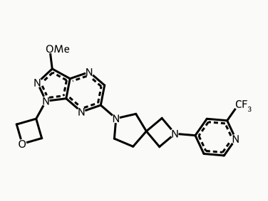 COc1nn(C2COC2)c2nc(N3CCC4(CN(c5ccnc(C(F)(F)F)c5)C4)C3)cnc12